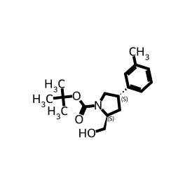 Cc1cccc([C@@H]2C[C@@H](CO)N(C(=O)OC(C)(C)C)C2)c1